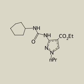 CCCn1cc(C(=O)OCC)c(NC(=O)NC2CCCCC2)n1